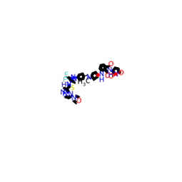 CN(C[C@H]1CC[C@H](n2cc(NC(=S)c3cnn4ccc(N5CCOCC5)nc34)c(C(F)F)n2)CC1)[C@H]1CC[C@H](Nc2cccc3c2C(=O)N(C2CCC(=O)NC2=O)C3=O)CC1